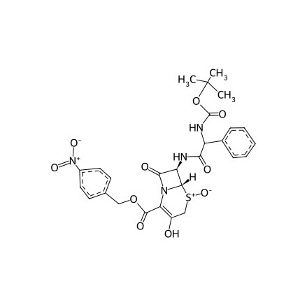 CC(C)(C)OC(=O)NC(C(=O)N[C@@H]1C(=O)N2C(C(=O)OCc3ccc([N+](=O)[O-])cc3)=C(O)C[S+]([O-])[C@@H]12)c1ccccc1